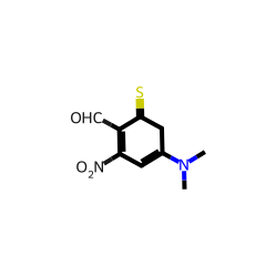 CN(C)C1=CC([N+](=O)[O-])=C(C=O)C(=S)C1